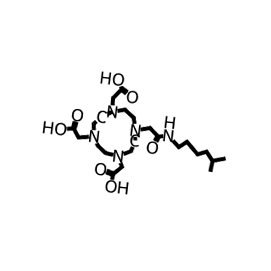 CC(C)CCCCNC(=O)CN1CCN(CC(=O)O)CCN(CC(=O)O)CCN(CC(=O)O)CC1